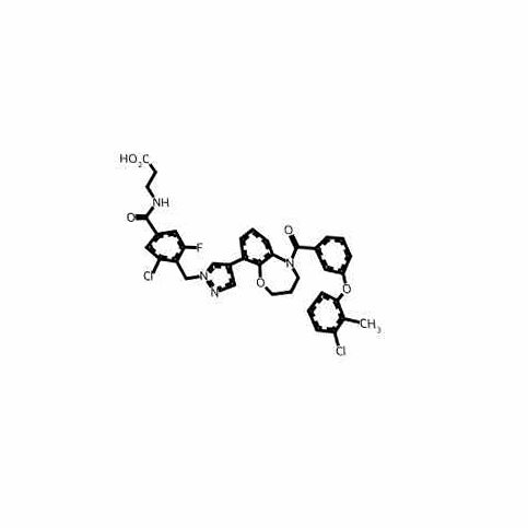 Cc1c(Cl)cccc1Oc1cccc(C(=O)N2CCCOc3c(-c4cnn(Cc5c(F)cc(C(=O)NCCC(=O)O)cc5Cl)c4)cccc32)c1